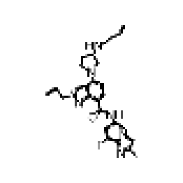 C=CCCNC1CCN(c2ccc(C(=O)Nc3cc(F)c4nc(C)cn4c3)c3nn(CC=C)cc23)C1